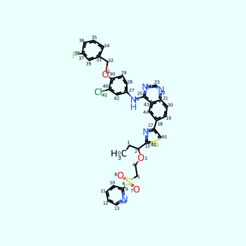 CCC(OCCS(=O)(=O)c1ccccn1)c1nc(-c2ccc3ncnc(Nc4ccc(OCc5cccc(F)c5)c(Cl)c4)c3c2)cs1